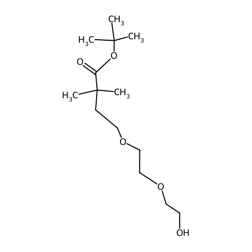 CC(C)(C)OC(=O)C(C)(C)CCOCCOCCO